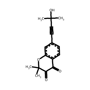 CC(C)(O)C#Cc1ccc2c(c1)OC(C)(C)C(=O)C2=O